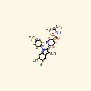 CCc1cc2c(cc1F)c(C#N)c(-c1ccc(S(=O)(=O)N[C@@H](C)C(F)(F)F)cn1)n2-c1ccc(C(F)(F)F)cc1